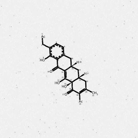 CC(=O)Cc1ccc2c(c1O)C(=O)C1=C(O)[C@@]3(O)C(=O)C(C(C)=O)=C(C)C[C@H]3C[C@H]1C2